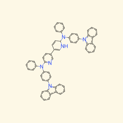 C1=CC(N(c2ccccc2)c2ccc(-n3c4ccccc4c4ccccc43)cc2)NC=C1c1ccc(N(c2ccccc2)c2ccc(-n3c4ccccc4c4ccccc43)cc2)nc1